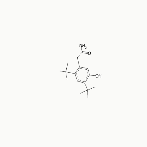 CC(C)(C)c1cc(C(C)(C)C)c(CC(N)=O)cc1O